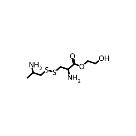 CC(N)CSSCC(N)C(=O)OCCO